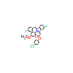 COc1ccc(-n2c(=CC(=O)Oc3ccc(Cl)cc3)c3cc(F)ccc3/c2=C/c2ccc(F)cc2)cc1